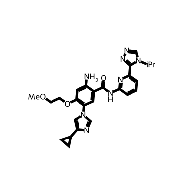 COCCOc1cc(N)c(C(=O)Nc2cccc(-c3nncn3C(C)C)n2)cc1-n1cnc(C2CC2)c1